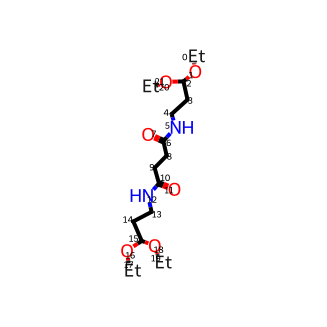 CCOC(CCNC(=O)CCC(=O)NCCC(OCC)OCC)OCC